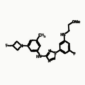 COCCNc1cc(F)cc(-n2cnc(Nc3cc(C)cc(N4CC(F)C4)c3)n2)c1